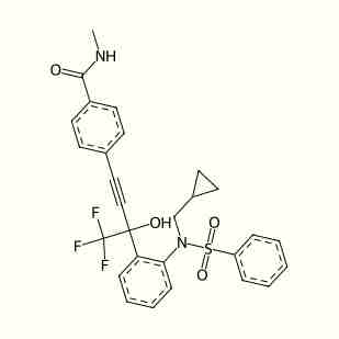 CNC(=O)c1ccc(C#CC(O)(c2ccccc2N(CC2CC2)S(=O)(=O)c2ccccc2)C(F)(F)F)cc1